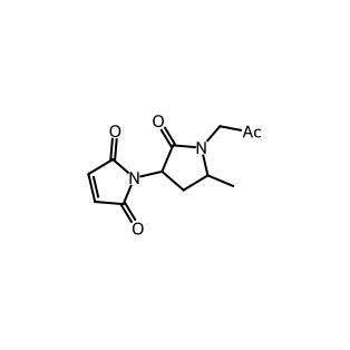 CC(=O)CN1C(=O)C(N2C(=O)C=CC2=O)CC1C